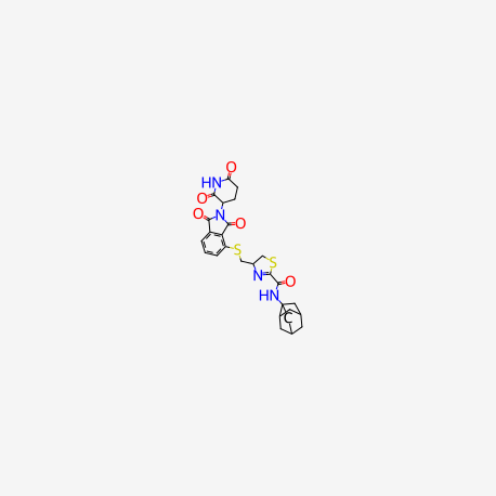 O=C1CCC(N2C(=O)c3cccc(SCC4CSC(C(=O)NC56CC7CC(CC5C7)C6)=N4)c3C2=O)C(=O)N1